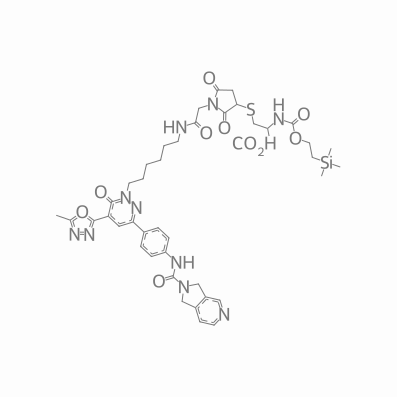 Cc1nnc(-c2cc(-c3ccc(NC(=O)N4Cc5ccncc5C4)cc3)nn(CCCCCCNC(=O)CN3C(=O)CC(SCC(NC(=O)OCC[Si](C)(C)C)C(=O)O)C3=O)c2=O)o1